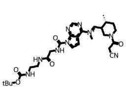 C[C@@H]1CCN(C(=O)CC#N)CC1/C=[N+](\C)c1ncnc2c1ccn2C(=O)NCC(=O)NCCNC(=O)OC(C)(C)C